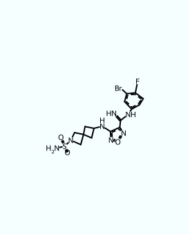 N=C(Nc1ccc(F)c(Br)c1)c1nonc1NC1CC2(C1)CN(S(N)(=O)=O)C2